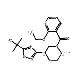 C[C@@H]1CC[C@@H](c2nsc(C(C)(C)O)n2)CN1C(=O)c1cccnc1OCC(F)(F)F